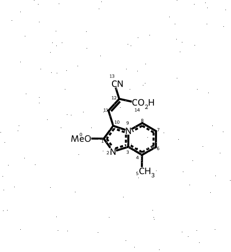 COc1nc2c(C)cccn2c1C=C(C#N)C(=O)O